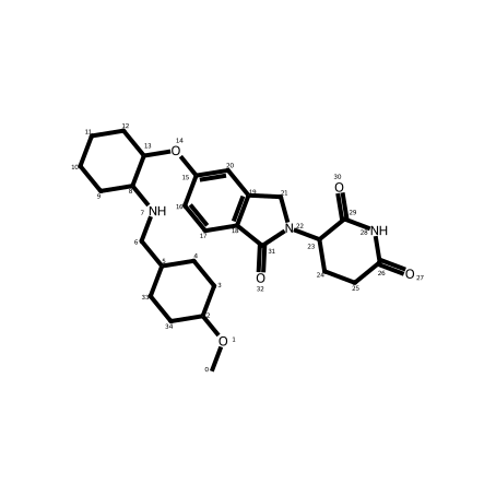 COC1CCC(CNC2CCCCC2Oc2ccc3c(c2)CN(C2CCC(=O)NC2=O)C3=O)CC1